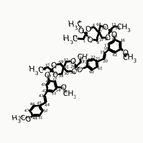 CCC1(OC)OCC2(CO1)COC(CC)(Oc1cc(/C=C/c3ccc(OC4(CC)OCC5(CO4)COC(CC)(Oc4cc(/C=C/c6ccc(OC)cc6)cc(OC)c4)OC5)cc3)cc(OC)c1)OC2